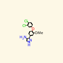 COc1cc(-c2n[nH]cc2N)ccc1Oc1ccc(Cl)c(Cl)c1